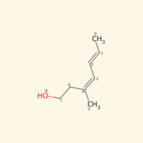 CC=CC=C(C)CCO